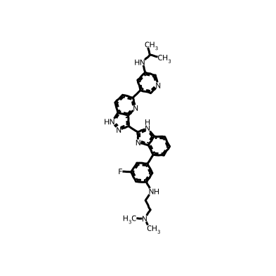 CC(C)Nc1cncc(-c2ccc3[nH]nc(-c4nc5c(-c6cc(F)cc(NCCN(C)C)c6)cccc5[nH]4)c3n2)c1